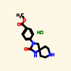 COC(=O)c1ccc(N2CC3(CCNCC3)NC2=O)cc1.Cl